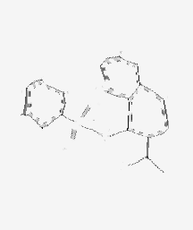 CC(C)c1ccc2cccnc2c1NS(=O)(=O)c1ccccc1